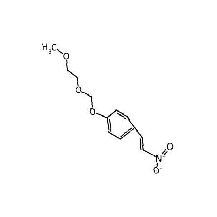 COCCOCOc1ccc(C=C[N+](=O)[O-])cc1